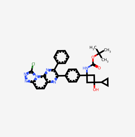 CC(C)(C)OC(=O)NC1(c2ccc(-c3nc4ccc5nnc(Cl)n5c4nc3-c3ccccc3)cc2)CC(O)(C2CC2)C1